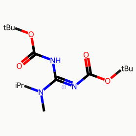 CC(C)N(C)/C(=N/C(=O)OC(C)(C)C)NC(=O)OC(C)(C)C